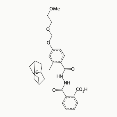 C1C2CC34CC1CC3(C2)C4.COCCOCOc1ccc(C(=O)NNC(=O)c2ccccc2C(=O)O)c(C)c1